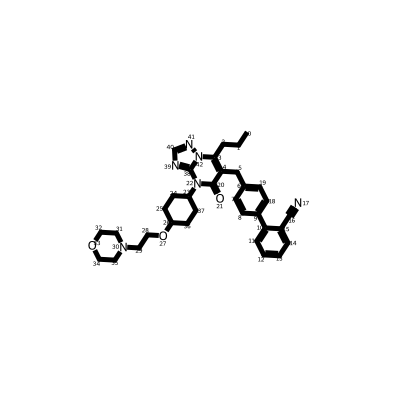 CCCc1c(Cc2ccc(-c3ccccc3C#N)cc2)c(=O)n(C2CCC(OCCN3CCOCC3)CC2)c2ncnn12